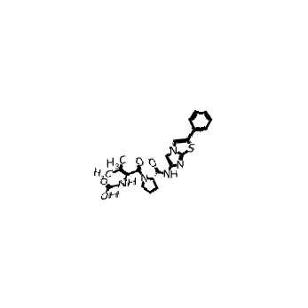 CC(C)[C@H](NC(=O)O)C(=O)N1CCC[C@H]1C(=O)Nc1cn2cc(-c3ccccc3)sc2n1